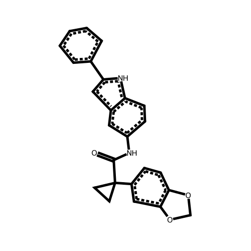 O=C(Nc1ccc2[nH]c(-c3ccccc3)cc2c1)C1(c2ccc3c(c2)OCO3)CC1